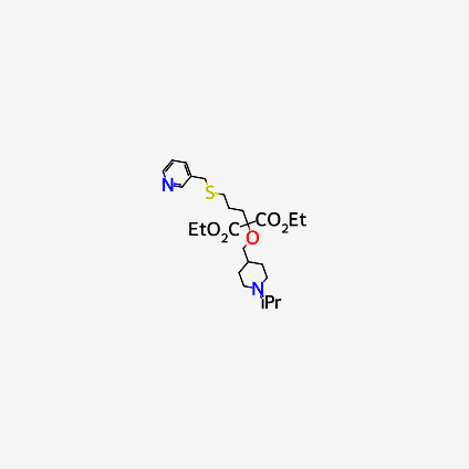 CCOC(=O)C(CCCSCc1cccnc1)(OCC1CCN(C(C)C)CC1)C(=O)OCC